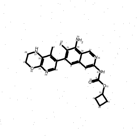 Cc1c(-c2cc3cc(NC(=O)OC4CCC4)ncc3c(N)c2F)cnc2c1NCCO2